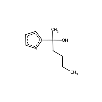 CCCCC(C)(O)c1cccs1